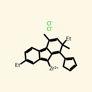 CCc1ccc2c(c1)=[C]([Zr+2])C1=C(C3=CC=CC3)C(C)(CC)C=C(C)C=21.[Cl-].[Cl-]